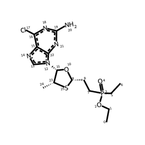 CCOP(=O)(CC)CC[C@H]1O[C@@H](n2cnc3c(Cl)nc(N)nc32)[C@@H](C)S1